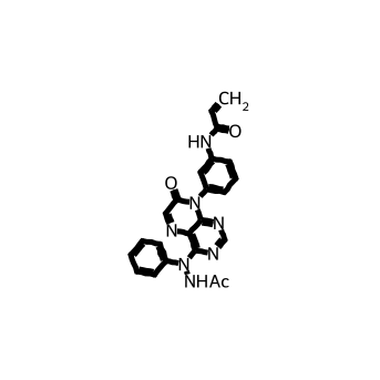 C=CC(=O)Nc1cccc(-n2c(=O)cnc3c(N(NC(C)=O)c4ccccc4)ncnc32)c1